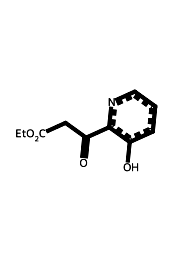 CCOC(=O)CC(=O)c1ncccc1O